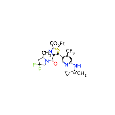 CCOC(=O)c1nc(C(=O)N2CC(F)(F)CC2C)c(-c2cnc(N[C@@H](C)C3CC3)cc2C(F)(F)F)s1